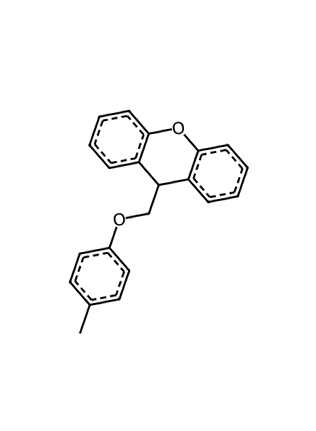 Cc1ccc(OCC2c3ccccc3Oc3ccccc32)cc1